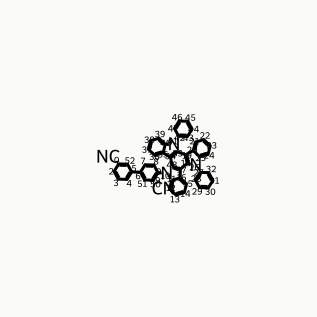 N#Cc1cccc(-c2ccc(-n3c4ccccc4c4c5c(c6ccccc6n5-c5ccccc5)c5c(c6ccccc6n5-c5ccccc5)c43)c(C#N)c2)c1